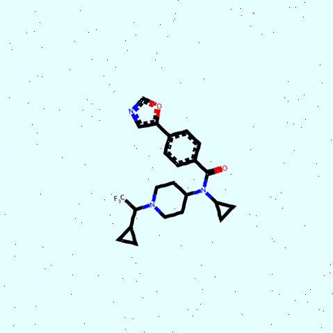 O=C(c1ccc(-c2cnco2)cc1)N(C1CC1)C1CCN(C(C2CC2)C(F)(F)F)CC1